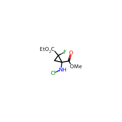 CCOC(=O)C1(F)CC1(NCl)C(=O)OC